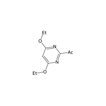 CCOc1cc(OCC)nc(C(C)=O)n1